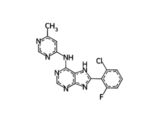 Cc1cc(Nc2ncnc3nc(-c4c(F)cccc4Cl)[nH]c23)ncn1